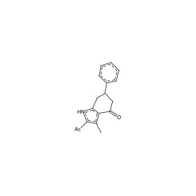 CC(=O)c1[nH]c2c(c1C)C(=O)CC(c1ccccc1)C2